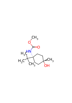 COC(=O)N[C@]1(C(C)(C)C)CC[C@](C)(O)CC1